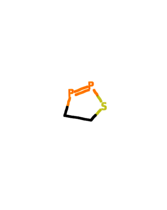 C1CSP=P1